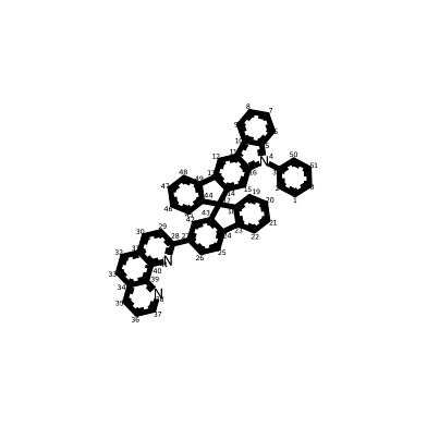 c1ccc(-n2c3ccccc3c3cc4c(cc32)C2(c3ccccc3-c3ccc(-c5ccc6ccc7cccnc7c6n5)cc32)c2ccccc2-4)cc1